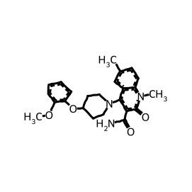 COc1ccccc1OC1CCN(c2c(C(N)=O)c(=O)n(C)c3ccc(C)cc23)CC1